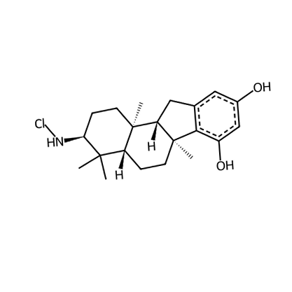 CC1(C)[C@@H](NCl)CC[C@]2(C)[C@@H]1CC[C@]1(C)c3c(O)cc(O)cc3C[C@@H]21